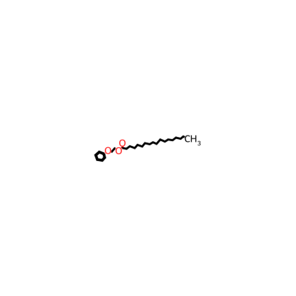 CCCCCCCCCCCCCCCCCC(=O)OCCOc1ccccc1